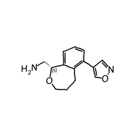 NC[C@H]1OCCCc2c(-c3cnoc3)cccc21